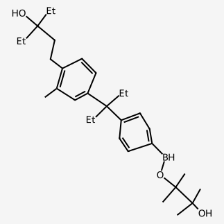 CCC(O)(CC)CCc1ccc(C(CC)(CC)c2ccc(BOC(C)(C)C(C)(C)O)cc2)cc1C